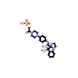 CC1(C)c2ccccc2N2CCOC21/C=N/c1ccc(N2CCN(C(=O)CSS(=O)(=O)O)CC2)cc1